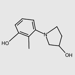 Cc1c(O)cccc1N1CCC(O)C1